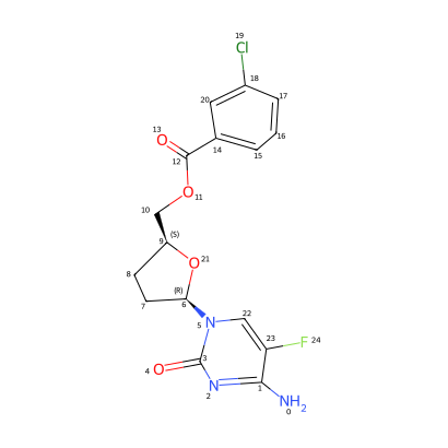 Nc1nc(=O)n([C@H]2CC[C@@H](COC(=O)c3cccc(Cl)c3)O2)cc1F